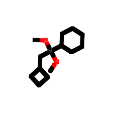 CO[Si](CC1CCC1)(OC)C1CCCCC1